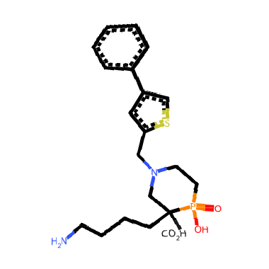 NCCCCC1(C(=O)O)CN(Cc2cc(-c3ccccc3)cs2)CCP1(=O)O